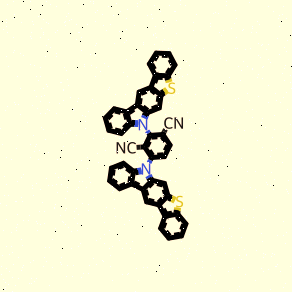 N#Cc1ccc(-n2c3ccccc3c3cc4c(cc32)sc2ccccc24)c(C#N)c1-n1c2ccccc2c2cc3c(cc21)sc1ccccc13